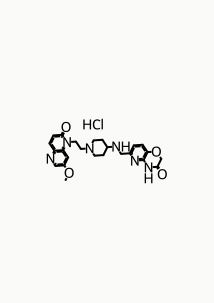 COc1cnc2ccc(=O)n(CCN3CCC(NCc4ccc5c(n4)NC(=O)CO5)CC3)c2c1.Cl